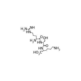 N=C(N)NCCC[C@H](N)C(=O)N[C@@H](CO)C(=O)N[C@@H](CCCCN)C(=O)O